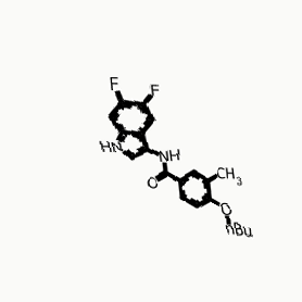 CCCCOc1ccc(C(=O)Nc2c[nH]c3cc(F)c(F)cc23)cc1C